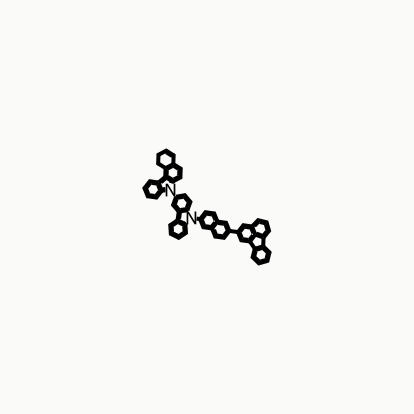 C1=Cc2ccc3c(c2CC1)c1ccccc1n3-c1ccc2c(c1)c1ccccc1n2-c1ccc2cc(-c3cc4c5c(cccc5c3)-c3ccccc3-4)ccc2c1